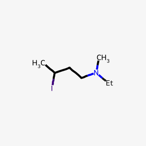 CCN(C)CCC(C)I